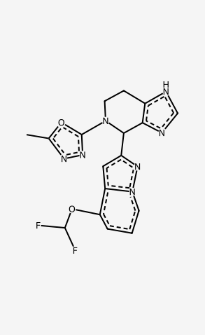 Cc1nnc(N2CCc3[nH]cnc3C2c2cc3c(OC(F)F)cccn3n2)o1